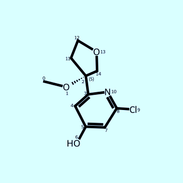 CO[C@]1(c2cc(O)cc(Cl)n2)CCOC1